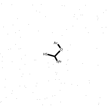 CCCC(S)OC(C)=O